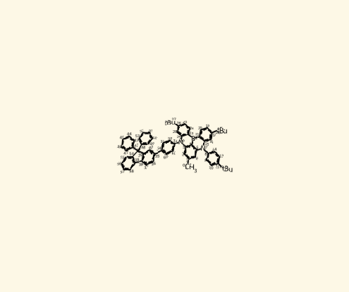 Cc1cc2c3c(c1)N(c1ccc(C(C)(C)C)cc1)c1cc(C(C)(C)C)ccc1B3c1ccc(C(C)(C)C)cc1N2c1ccc(-c2ccc3c(c2)C(c2ccccc2)(c2ccccc2)c2ccccc2-3)cc1